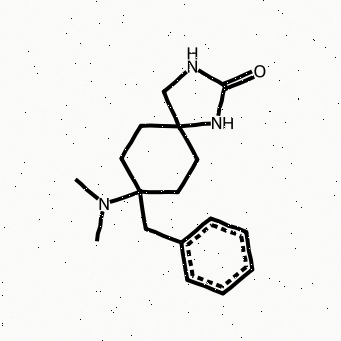 CN(C)C1(Cc2ccccc2)CCC2(CC1)CNC(=O)N2